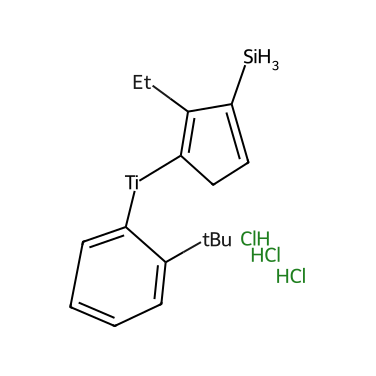 CCC1=[C]([Ti][c]2ccccc2C(C)(C)C)CC=C1[SiH3].Cl.Cl.Cl